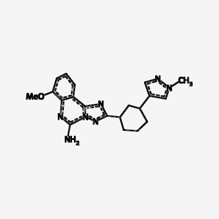 COc1cccc2c1nc(N)n1nc(C3CCCC(c4cnn(C)c4)C3)nc21